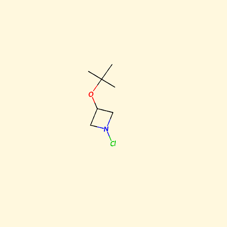 CC(C)(C)OC1CN(Cl)C1